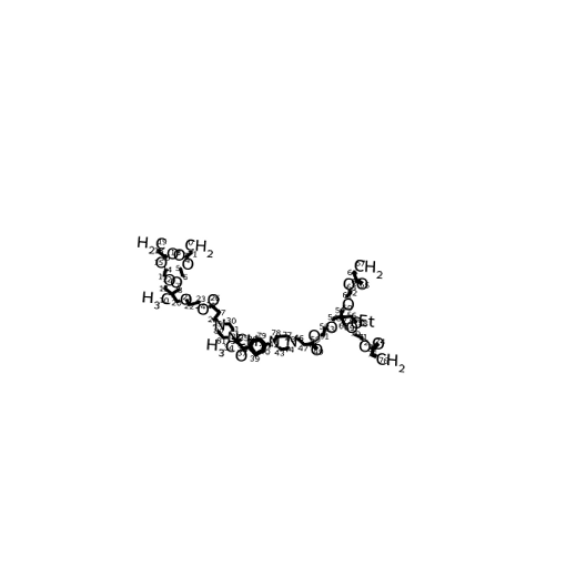 C=CC(=O)OCCOCC(C)(COCCOC(=O)C=C)COCCOC(=O)CCN1CCN(C(C)(C)C(=O)c2ccc(N3CCN(CCC(=O)OCCOCC(COCC)(COCCOC(=O)C=C)COCCOC(=O)C=C)CC3)cc2)CC1